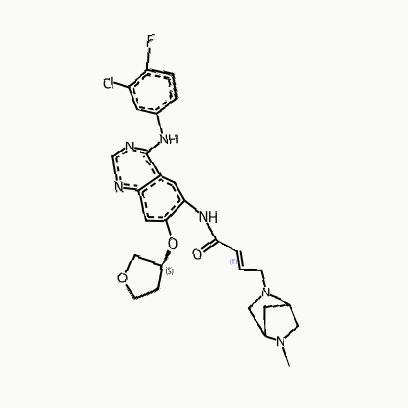 CN1CC2CC1CN2C/C=C/C(=O)Nc1cc2c(Nc3ccc(F)c(Cl)c3)ncnc2cc1O[C@H]1CCOC1